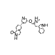 N[C@@H](COc1cncc(-c2ccc3c(=O)[nH]ccc3c2)c1)Cc1c[nH]c2ccccc12